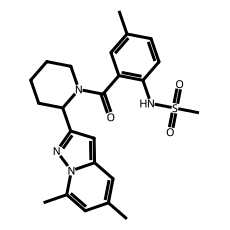 Cc1ccc(NS(C)(=O)=O)c(C(=O)N2CCCCC2c2cc3cc(C)cc(C)n3n2)c1